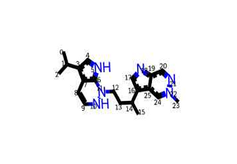 CC(C)c1c[nH]c2c1C=CNN2CCC(C)c1cnc2cnn(C)cc1-2